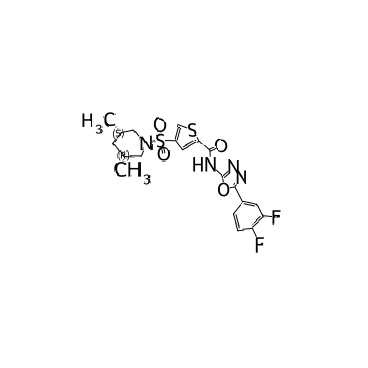 C[C@@H]1C[C@H](C)CN(S(=O)(=O)c2csc(C(=O)Nc3nnc(-c4ccc(F)c(F)c4)o3)c2)C1